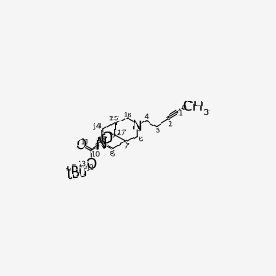 CC#CCCN1CC2CN(C(=O)OC(C)(C)C)CC(C1)C2=O